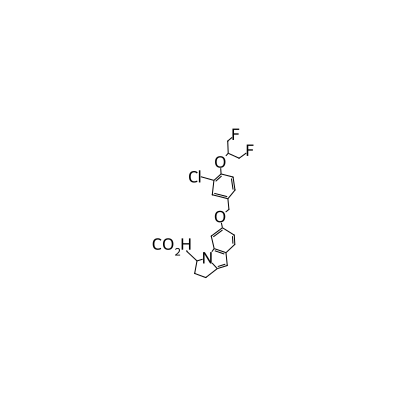 O=C(O)CC1CCc2cc3ccc(OCc4ccc(OC(CF)CF)c(Cl)c4)cc3n21